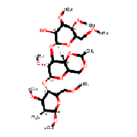 CCCCOCC1O[C@@H](OCCCC)[C@@H](C)C(OCCCC)[C@@H]1O[C@@H]1OC2COC(C)O[C@H]2C(O[C@@H]2OC(COCCCC)[C@H](OCCCC)C(OCCCC)[C@@H]2O)[C@H]1OCCCC